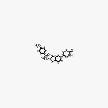 Cc1ccc(S(=O)(=O)NC2Cc3ccc(C4=NNC(=O)CC4)cc3C2)cc1